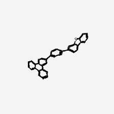 c1ccc2c(c1)sc1cc(-c3ccc(-c4ccc5c6ccccc6c6ccccc6c5c4)cc3)ccc12